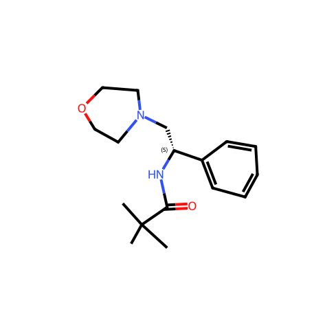 CC(C)(C)C(=O)N[C@H](CN1CCOCC1)c1ccccc1